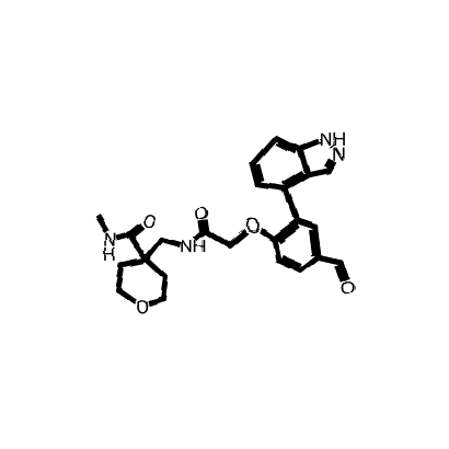 CNC(=O)C1(CNC(=O)COc2ccc(C=O)cc2-c2cccc3[nH]ncc23)CCOCC1